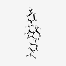 CN(C)c1ccc(Nc2n[nH]c(NCc3ccc(O)cc3)c2C(N)=O)cc1